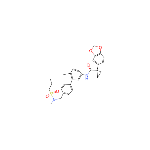 CCCS(=O)(=O)N(C)Cc1ccc(-c2cc(NC(=O)C3(c4ccc5c(c4)OCO5)CC3)ccc2C)cc1